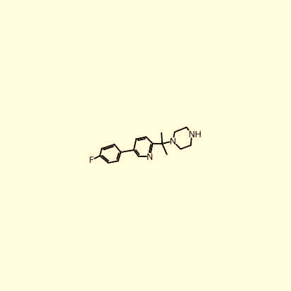 CC(C)(c1ccc(-c2ccc(F)cc2)cn1)N1CCNCC1